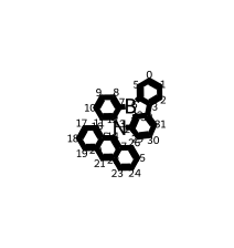 c1ccc2c(c1)B1c3ccccc3N(c3c4ccccc4cc4ccccc34)c3cccc-2c31